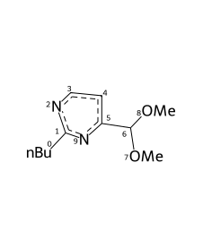 CCCCc1nccc(C(OC)OC)n1